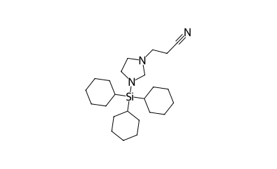 N#CCCN1CCN([Si](C2CCCCC2)(C2CCCCC2)C2CCCCC2)C1